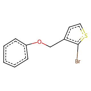 Brc1sccc1COc1ccccc1